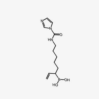 C=CC(CCCCCNC(=O)n1ccnc1)B(O)O